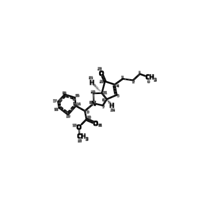 CCCCC1=C[C@H]2CN(C(C(=O)OC)c3ccccc3)C[C@H]2C1=O